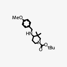 COc1ccc(CNC2CCN(C(=O)OC(C)(C)C)CC2(C)C)cc1